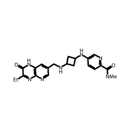 CCc1nc2ncc(CNC3CC(Nc4ccc(C(=O)NC)nc4)C3)cc2[nH]c1=O